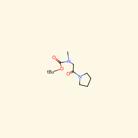 CN(CC(=O)N1CCCC1)C(=O)OC(C)(C)C